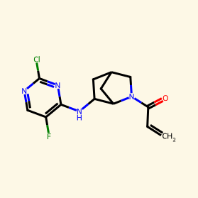 C=CC(=O)N1CC2CC(Nc3nc(Cl)ncc3F)C1C2